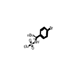 CCCC[C@H](NS(=O)(=O)C(C)(C)C)c1ccc(Br)cc1